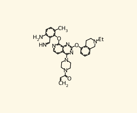 C=CC(=O)N1CCN(c2nc(Oc3cccc4c3CCN(CC)C4)nc3c(Oc4c(C)ccc(N)c4C=N)nccc23)CC1